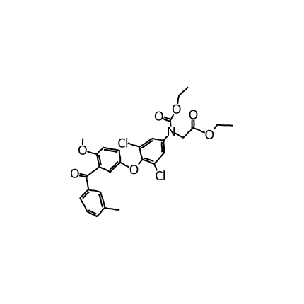 CCOC(=O)CN(C(=O)OCC)c1cc(Cl)c(Oc2ccc(OC)c(C(=O)c3cccc(C)c3)c2)c(Cl)c1